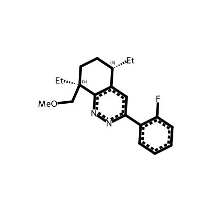 CC[C@H]1CC[C@](CC)(COC)c2nnc(-c3ccccc3F)cc21